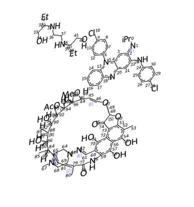 CC(C)/N=c1\cc2n(-c3ccc(Cl)cc3)c3ccccc3nc-2cc1Nc1ccc(Cl)cc1.CC[C@@H](CO)NCCN[C@@H](CC)CO.CO[C@H]1/C=C/O[C@@]2(C)Oc3c(C)c(O)c4c(O)c(c(/C=N/N5CCN(C)CC5)c(O)c4c3C2=O)NC(=O)/C(C)=C\C=C\[C@H](C)[C@H](O)[C@@H](C)[C@@H](O)[C@@H](C)[C@H](OC(C)=O)[C@@H]1C